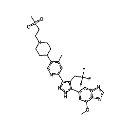 COc1cc(-c2[nH]nc(-c3cc(C)c(C4CCN(CCS(C)(=O)=O)CC4)cn3)c2CC(F)(F)F)cn2ncnc12